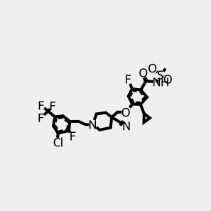 CS(=O)(=O)NC(=O)c1cc(C2CC2)c(OCC2(C#N)CCN(CCc3cc(C(F)(F)F)cc(Cl)c3F)CC2)cc1F